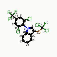 FC(Cl)(Cl)Sc1cn(-c2c(Cl)cc(C(F)(F)F)cc2Cl)c2ccccc12